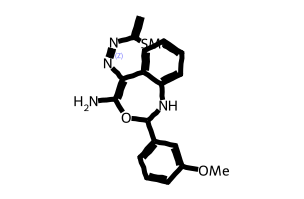 C=C(/N=N\C1=C(N)OC(c2cccc(OC)c2)Nc2ccccc21)SC